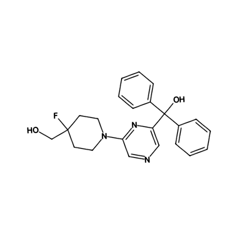 OCC1(F)CCN(c2cncc(C(O)(c3ccccc3)c3ccccc3)n2)CC1